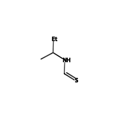 CCC(C)NC=S